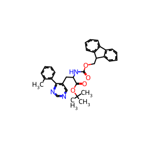 Cc1ccccc1-c1ncncc1CC(NC(=O)OCC1c2ccccc2-c2ccccc21)C(=O)OC(C)(C)C